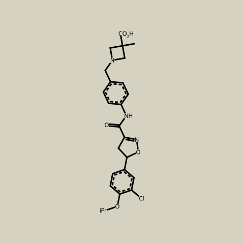 CC(C)Oc1ccc(C2CC(C(=O)Nc3ccc(CN4CC(C)(C(=O)O)C4)cc3)=NO2)cc1Cl